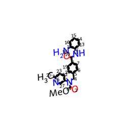 COC(=O)N(Cc1ccc(C(=O)Nc2ccccc2N)cc1)c1ccc(C)nc1